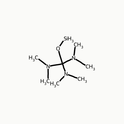 CN(C)C(O[SiH3])(N(C)C)N(C)C